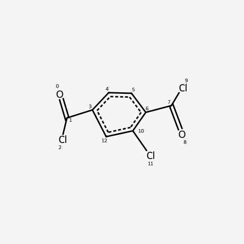 O=C(Cl)c1ccc(C(=O)Cl)c(Cl)c1